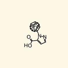 O=C(O)c1ccnn1[C]12[CH]3[CH]4[CH]5[CH]1[Fe]45321678[CH]2[CH]1[CH]6[CH]7[CH]28